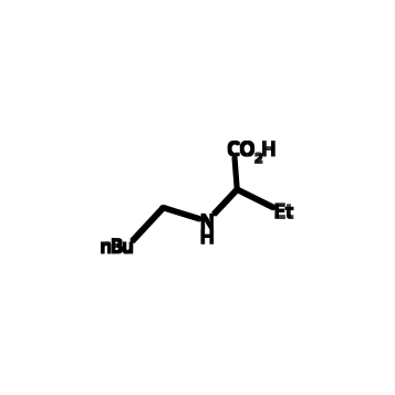 CCCCCNC(CC)C(=O)O